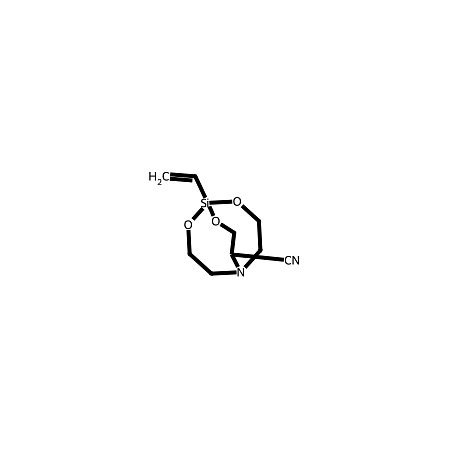 C=C[Si]12OCCN(CCO1)C(C#N)CO2